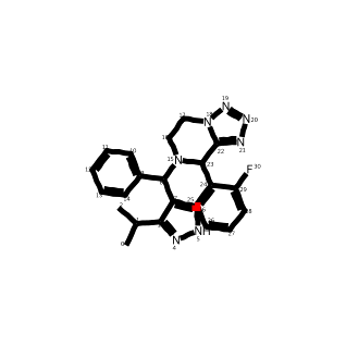 CC(C)c1n[nH]cc1C(c1ccccc1)N1CCn2nnnc2C1c1ccccc1F